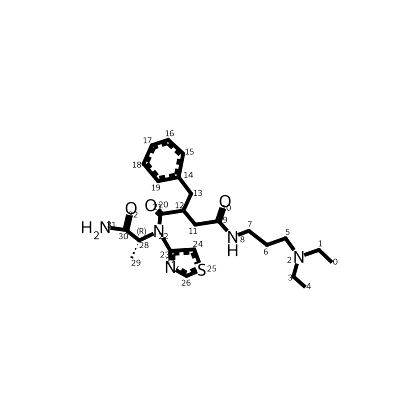 CCN(CC)CCCNC(=O)CC(Cc1ccccc1)C(=O)N(c1cscn1)[C@H](C)C(N)=O